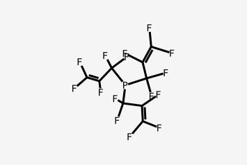 FC(F)=C(F)C(F)(F)P(C(F)(F)C(F)=C(F)F)C(F)(F)C(F)=C(F)F